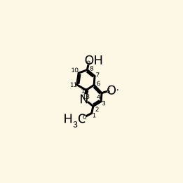 CCc1cc([O])c2cc(O)ccc2n1